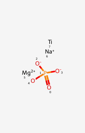 O=P([O-])([O-])[O-].[Mg+2].[Na+].[Ti]